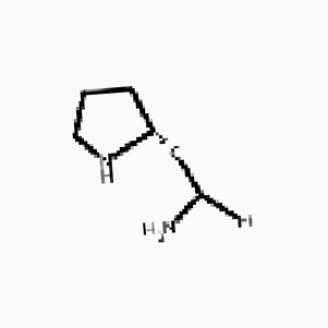 CCC(N)C[C@H]1CCCN1